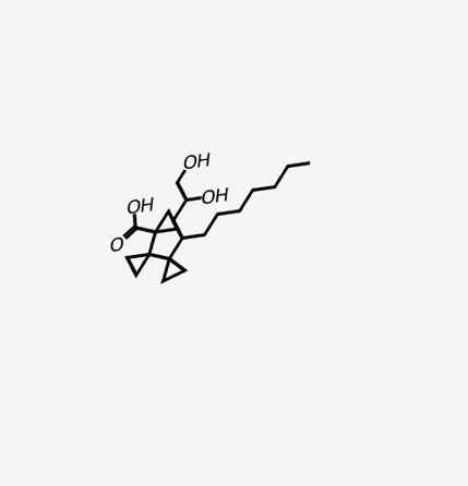 CCCCCCCC(CC(O)CO)C1(C2(C3(C(=O)O)CC3)CC2)CC1